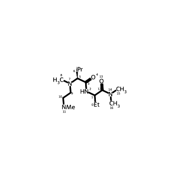 CCC(NC(=O)[C@H](C(C)C)N(C)CCNC)C(=O)N(C)C